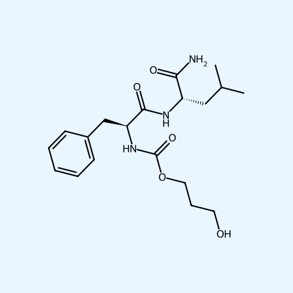 CC(C)C[C@H](NC(=O)[C@H](Cc1ccccc1)NC(=O)OCCCO)C(N)=O